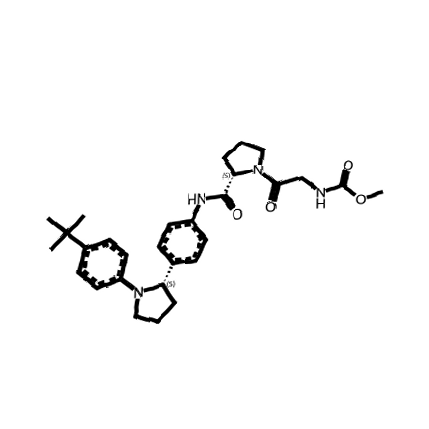 COC(=O)NCC(=O)N1CCC[C@H]1C(=O)Nc1ccc([C@@H]2CCCN2c2ccc(C(C)(C)C)cc2)cc1